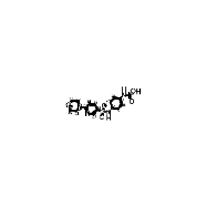 O=C(O)N[C@H]1CC[C@H](NS(=O)(=O)c2ccc(N3CCOCC3)nc2)CC1